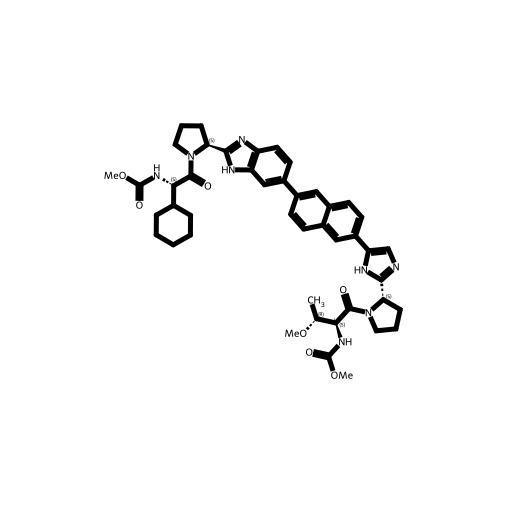 COC(=O)N[C@H](C(=O)N1CCC[C@H]1c1nc2ccc(-c3ccc4cc(-c5cnc([C@@H]6CCCN6C(=O)[C@@H](NC(=O)OC)[C@@H](C)OC)[nH]5)ccc4c3)cc2[nH]1)C1CCCCC1